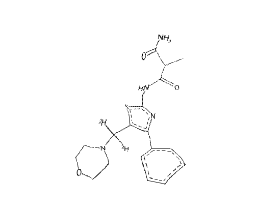 [2H]C([2H])(c1sc(NC(=O)[C](C)C(N)=O)nc1-c1ccccc1)N1CCOCC1